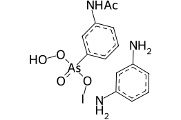 CC(=O)Nc1cccc([As](=O)(OO)OI)c1.Nc1cccc(N)c1